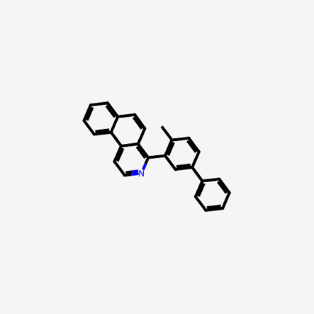 Cc1ccc(-c2ccccc2)cc1-c1nccc2c1ccc1ccccc12